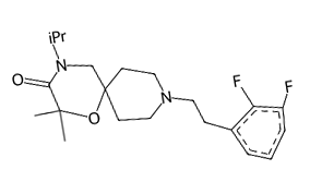 CC(C)N1CC2(CCN(CCc3cccc(F)c3F)CC2)OC(C)(C)C1=O